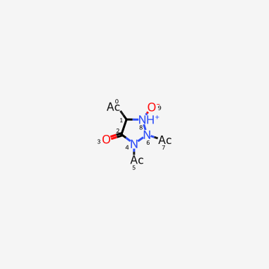 CC(=O)C1C(=O)N(C(C)=O)N(C(C)=O)[NH+]1[O-]